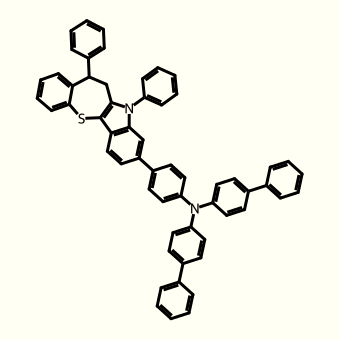 c1ccc(-c2ccc(N(c3ccc(-c4ccccc4)cc3)c3ccc(-c4ccc5c6c(n(-c7ccccc7)c5c4)CC(c4ccccc4)c4ccccc4S6)cc3)cc2)cc1